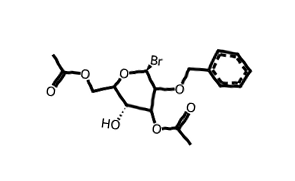 CC(=O)OCC1O[C@@H](Br)C(OCc2ccccc2)C(OC(C)=O)[C@@H]1O